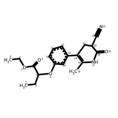 CCOC(=O)C(CC)Oc1cccc(C2=C(C)NC(=O)C(C#N)C2)c1